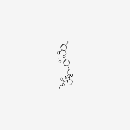 CCOC(=O)C1(NC(=O)C=Cc2ccc(OCc3cc(F)ccc3Cl)c(OC)c2)CCCC1